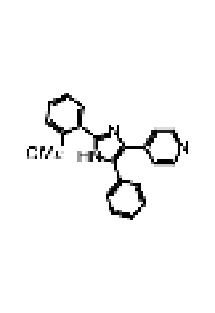 COc1ccccc1-c1nc(-c2ccncc2)c(-c2ccccc2)[nH]1